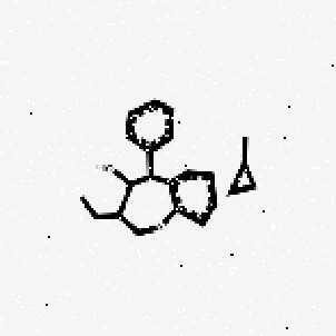 CC1CC1.CCC1CSc2ccccc2C(c2ccccc2)C1O